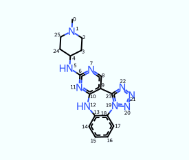 CN1CCC(Nc2ncc3c(n2)Nc2ccccc2-n2nnnc2-3)CC1